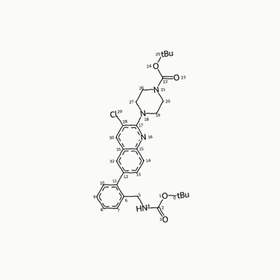 CC(C)(C)OC(=O)NCc1ccccc1-c1ccc2nc(N3CCN(C(=O)OC(C)(C)C)CC3)c(Cl)cc2c1